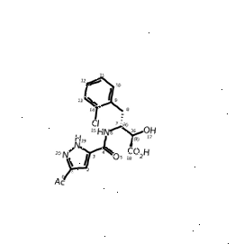 CC(=O)c1cc(C(=O)N[C@H](Cc2ccccc2Cl)[C@@H](O)C(=O)O)[nH]n1